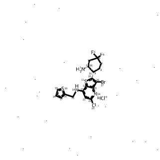 Cl.N[C@@H]1CC(F)(F)CC[C@@H]1c1sc2c(NCc3cccs3)cc(Cl)nc2c1Br